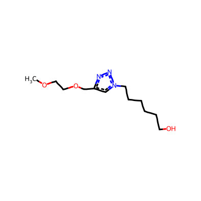 COCCOCc1cn(CCCCCCO)nn1